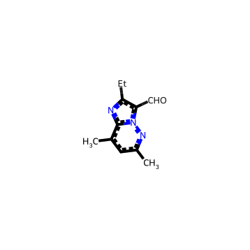 CCc1nc2c(C)cc(C)nn2c1C=O